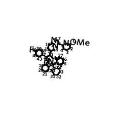 COc1cccc(-c2cnc3ccc(-c4cn(C(c5ccccc5)(c5ccccc5)C5C=CC=CC5)nc4-c4ccc(F)cc4)cn23)n1